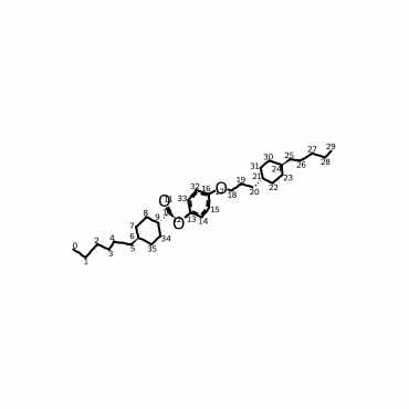 CCCCCC[C@H]1CC[C@H](C(=O)Oc2ccc(OCCC[C@H]3CC[C@H](CCCCC)CC3)cc2)CC1